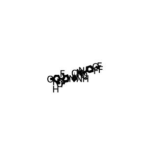 C[C@@H]1[C@@H](Nc2nnc(-c3ccc(OC(F)(F)F)cc3)o2)CN1c1cc(F)c(C2CCC(=O)NC2=O)c(F)c1